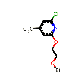 CCOCCOc1cc(C(Cl)(Cl)Cl)cc(Cl)n1